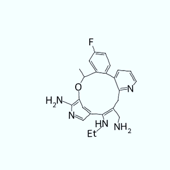 CCN/C1=C(\CN)Cc2ncccc2-c2ccc(F)cc2C(C)Oc2cc1cnc2N